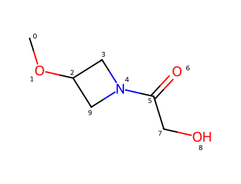 COC1CN(C(=O)CO)C1